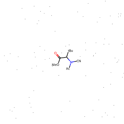 COC(=O)C(N(C#N)C(C)=O)C(C)(C)C